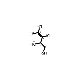 OC(CS)C(Cl)=C(Cl)Cl